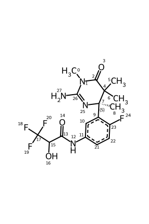 CN1C(=O)C(C)(C)[C@@](C)(c2cc(NC(=O)C(O)C(F)(F)F)ccc2F)N=C1N